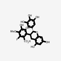 COc1c(O)c(O)c(C2Cc3c(O)cc(O)cc3O[C@H]2c2cc(O)c(O)c(O)c2)c(C(=O)O)c1F